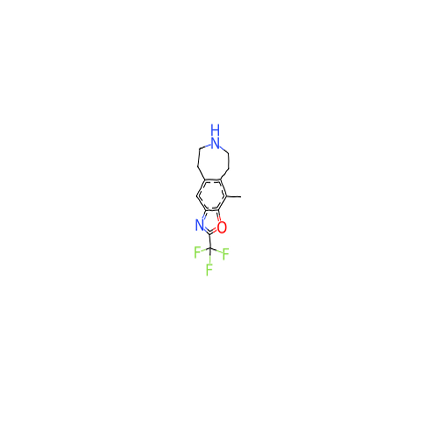 Cc1c2c(cc3nc(C(F)(F)F)oc13)CCNCC2